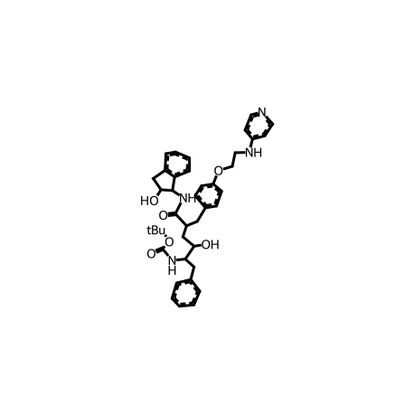 CC(C)(C)OC(=O)NC(Cc1ccccc1)C(O)CC(Cc1ccc(OCCNc2ccncc2)cc1)C(=O)NC1c2ccccc2CC1O